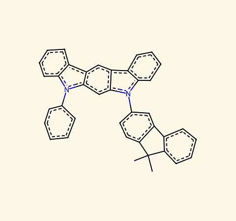 CC1(C)c2ccccc2-c2cc(-n3c4ccccc4c4cc5c6ccccc6n(-c6ccccc6)c5cc43)ccc21